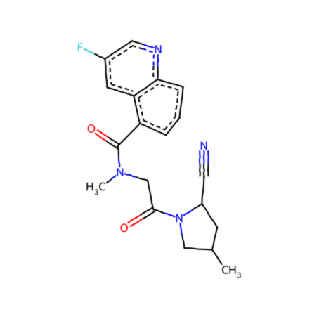 CC1CC(C#N)N(C(=O)CN(C)C(=O)c2cccc3ncc(F)cc23)C1